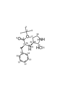 CC(C)(C)OC(=O)[C@H](Cc1ccccc1)N[C@H]1CCNC1.Cl